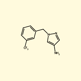 Nc1cnn(Cc2cccc(C(F)(F)F)c2)c1